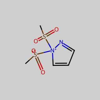 CS(=O)(=O)[N+]1(S(C)(=O)=O)C=CC=N1